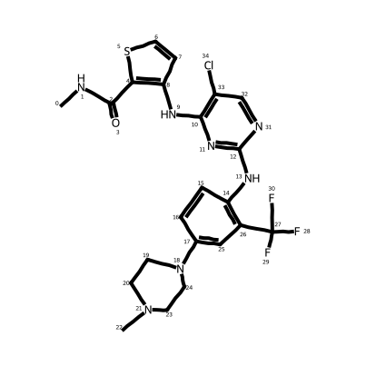 CNC(=O)c1sccc1Nc1nc(Nc2ccc(N3CCN(C)CC3)cc2C(F)(F)F)ncc1Cl